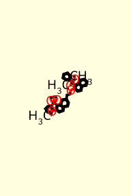 CCOc1ccc2ccc(CCOc3ccc4ccccc4c3C(OC)(OC)c3ccccc3)cc2c1C1(c2ccccc2)OCCO1